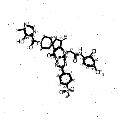 Cc1ncnc(C(=O)N2CCC3(CC2)C[C@@H](C)c2c3c(=O)n3nc(-c4ccc(S(C)(=O)=O)cc4)nc3n2CC(=O)Nc2ccc(C(F)(F)F)cc2Cl)c1O